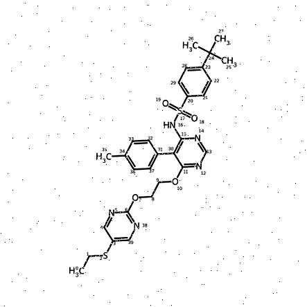 CCSc1cnc(OCCOc2ncnc(NS(=O)(=O)c3ccc(C(C)(C)C)cc3)c2-c2ccc(C)cc2)nc1